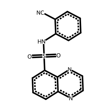 N#Cc1ccccc1NS(=O)(=O)c1cccc2nccnc12